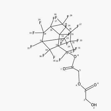 O=C(CO)OCC(=O)OC(F)(F)C12C(F)(F)C3(F)C(F)(F)C(F)(C(F)(F)C(F)(C3(F)F)C1(F)F)C2(F)F